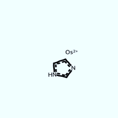 [Os+2].c1c[nH]cn1